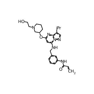 C=CC(=O)Nc1cccc(CNc2cc(O[C@@H]3CCCN(CCO)C3)nc3c(C(C)C)cnn23)c1